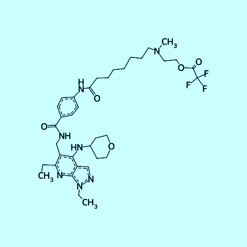 CCc1nc2c(cnn2CC)c(NC2CCOCC2)c1CNC(=O)c1ccc(NC(=O)CCCCCCCN(C)CCOC(=O)C(F)(F)F)cc1